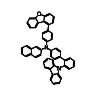 c1ccc(-n2c3ccccc3c3ccccc32)c(-c2ccc(N(c3ccc(-c4cccc5oc6ccccc6c45)cc3)c3ccc4ccccc4c3)cc2)c1